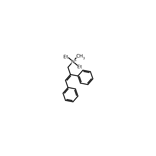 CC[N+](C)(CC)CC(=Cc1ccccc1)c1ccccc1